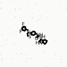 O=C(Nc1ccc2c(c1)SCCN2Cc1cc(F)cc(F)c1)Nc1c[nH]c2ccccc12